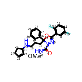 CONC(=O)N1N=C(c2cc(F)ccc2F)OC1(CCCNC1C=CCC1)c1ccccc1